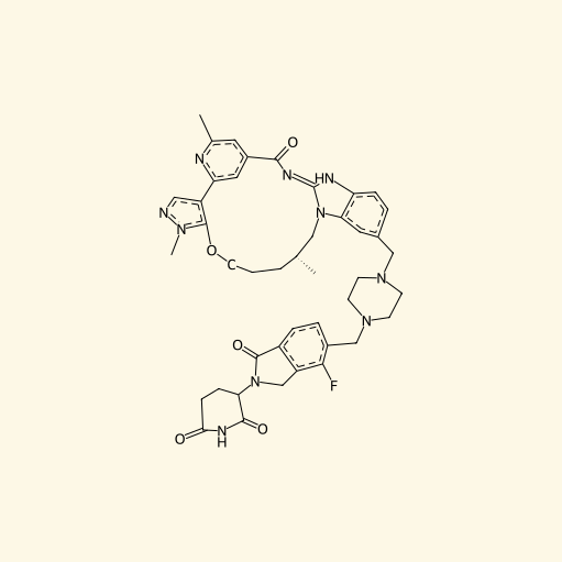 Cc1cc2cc(n1)-c1cnn(C)c1OCCC[C@@H](C)CN1/C(=N/C2=O)Nc2ccc(CN3CCN(Cc4ccc5c(c4F)CN(C4CCC(=O)NC4=O)C5=O)CC3)cc21